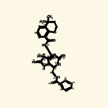 CC1(C)CCOc2c(C(=O)NC3CN4C(=N)N[C@@H](CNC(=O)c5cccnn5)C5NC(=N)NC54[C@@H]3O)cccc21